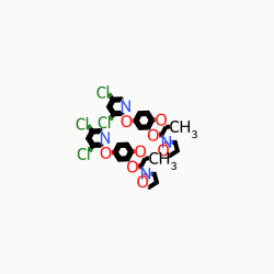 CC(Oc1ccc(Oc2ncc(Cl)cc2Cl)cc1)C(=O)N1CCCO1.CC(Oc1ccc(Oc2ncc(Cl)cc2Cl)cc1)C(=O)N1CCCO1